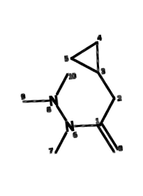 C=C(CC1CC1)N(C)N(C)C